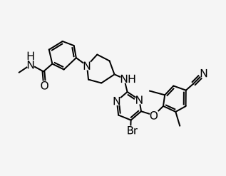 CNC(=O)c1cccc(N2CCC(Nc3ncc(Br)c(Oc4c(C)cc(C#N)cc4C)n3)CC2)c1